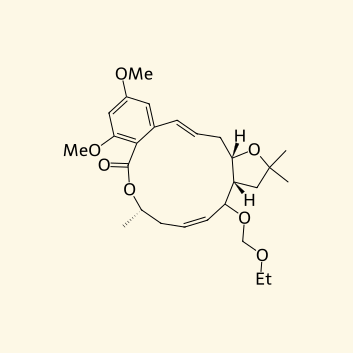 CCOCOC1/C=C\C[C@H](C)OC(=O)c2c(cc(OC)cc2OC)/C=C/C[C@@H]2OC(C)(C)C[C@H]12